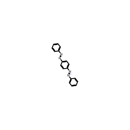 c1ccc(N=Nc2ccc(/N=N/c3ccccc3)cc2)cc1